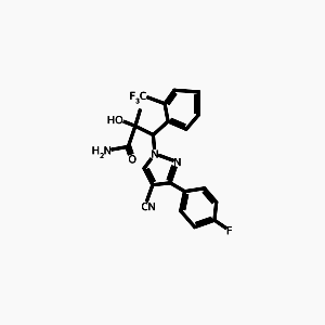 CC(O)(C(N)=O)C(c1ccccc1C(F)(F)F)n1cc(C#N)c(-c2ccc(F)cc2)n1